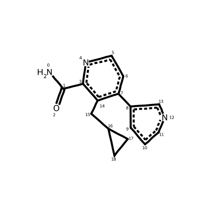 NC(=O)c1nccc(-c2cccnc2)c1CC1CC1